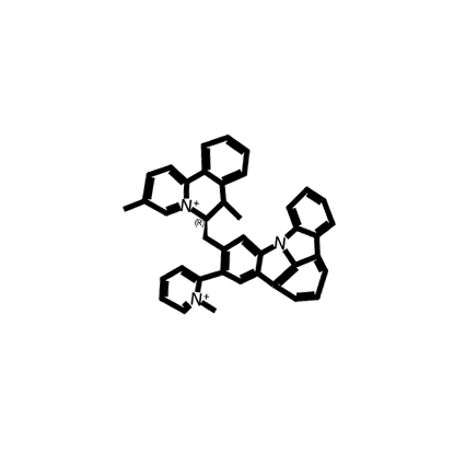 Cc1ccc2[n+](c1)[C@H](Cc1cc3c(cc1-c1cccc[n+]1C)c1cccc4c5ccccc5n3c41)C(C)c1ccccc1-2